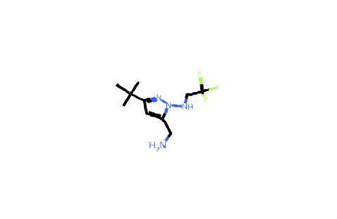 CC(C)(C)c1cc(CN)n(NCC(F)(F)F)n1